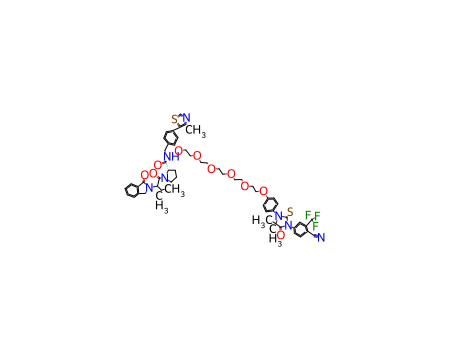 Cc1ncsc1-c1ccc(CNC(=O)[C@@H]2CCCN2C(=O)C(C(C)C)N2Cc3ccccc3C2=O)c(OCCOCCOCCOCCOCCOc2ccc(N3C(=S)N(c4ccc(C#N)c(C(F)(F)F)c4)C(=O)C3(C)C)cc2)c1